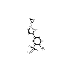 CS(=O)(=O)c1cc(-c2ccn(C3CC3)n2)ccc1N